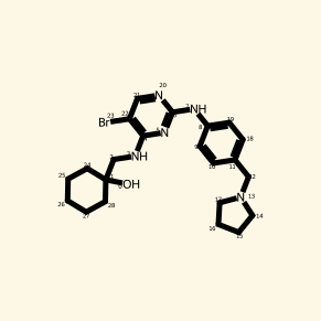 OC1(CNc2nc(Nc3ccc(CN4CCCC4)cc3)ncc2Br)CCCCC1